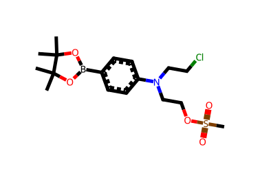 CC1(C)OB(c2ccc(N(CCCl)CCOS(C)(=O)=O)cc2)OC1(C)C